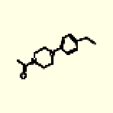 CCc1ccc(N2CCN(C(C)=O)CC2)cc1